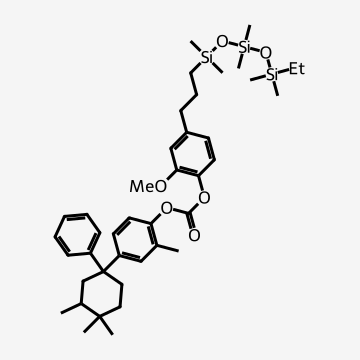 CC[Si](C)(C)O[Si](C)(C)O[Si](C)(C)CCCc1ccc(OC(=O)Oc2ccc(C3(c4ccccc4)CCC(C)(C)C(C)C3)cc2C)c(OC)c1